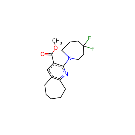 COC(=O)c1cc2c(nc1N1CCCC(F)(F)CC1)CCCCC2